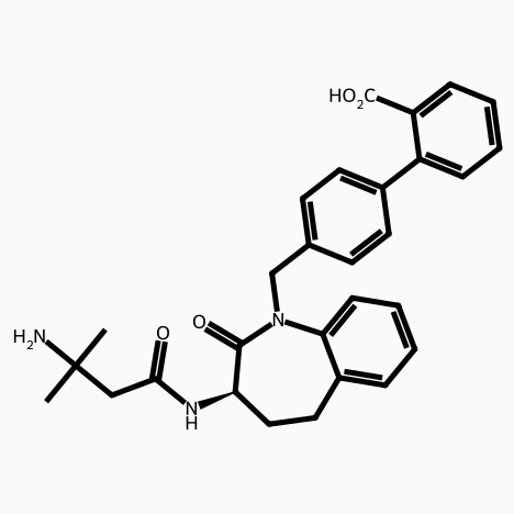 CC(C)(N)CC(=O)N[C@@H]1CCc2ccccc2N(Cc2ccc(-c3ccccc3C(=O)O)cc2)C1=O